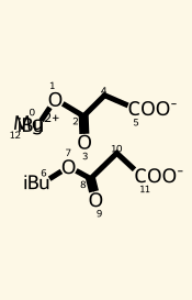 CCC(C)OC(=O)CC(=O)[O-].CCC(C)OC(=O)CC(=O)[O-].[Mg+2]